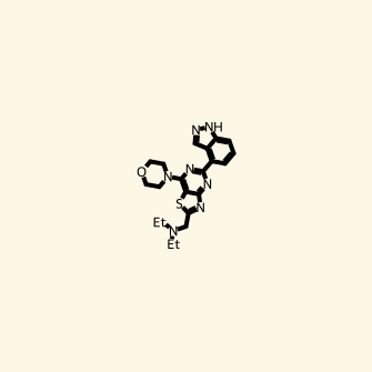 CCN(CC)Cc1nc2nc(-c3cccc4[nH]ncc34)nc(N3CCOCC3)c2s1